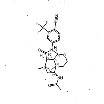 CC(=O)N[C@H]1C[C@@]2(C)O[C@@]13CCO[C@H]1[C@@H]3[C@@H]2C(=O)N1c1ccc(C#N)c(C(F)(F)F)c1